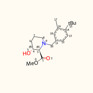 COC(=O)[C@H]1[C@H](O)CCCN1Cc1ccc(C(C)(C)C)c(C)c1